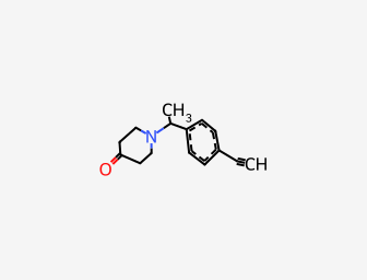 C#Cc1ccc(C(C)N2CCC(=O)CC2)cc1